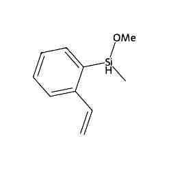 C=Cc1ccccc1[SiH](C)OC